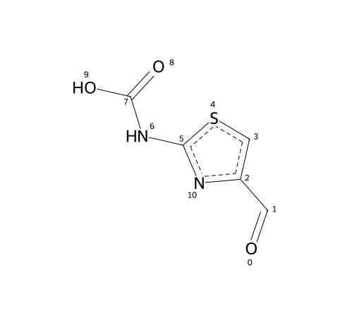 O=Cc1csc(NC(=O)O)n1